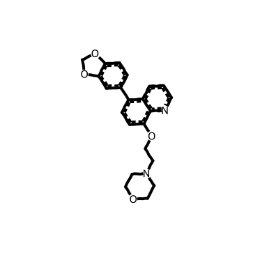 c1cnc2c(OCCN3CCOCC3)ccc(-c3ccc4c(c3)OCO4)c2c1